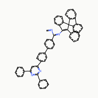 C=N/C(=N\C1=C(c2ccccc2)C2(c3ccccc31)c1ccccc1-c1ccccc12)c1ccc(-c2ccc(-c3cc(-c4ccccc4)nc(-c4ccccc4)n3)cc2)cc1